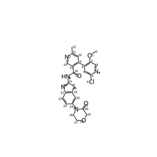 COc1cnc(Cl)cc1-c1cc(C)ncc1C(=O)Nc1nc2ccc(N3CCOCC3=O)cc2s1